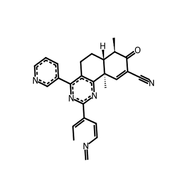 C=N/C=C\C(=C/C)c1nc(-c2cccnc2)c2c(n1)[C@]1(C)C=C(C#N)C(=O)[C@H](C)[C@H]1CC2